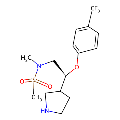 CN(C[C@@H](Oc1ccc(C(F)(F)F)cc1)C1CCNC1)S(C)(=O)=O